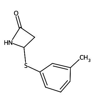 Cc1cccc(SC2CC(=O)N2)c1